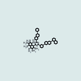 Bc1c(B)c(B)c2c(-c3nc(-c4cccc(-c5ccc6cc(-c7cccc8ccccc78)ccc6c5)c4)nc(-c4ccc5cc(-c6ccccc6)ccc5c4)n3)c(B)c(B)c(B)c2c1B